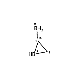 B[C@H]1BC1